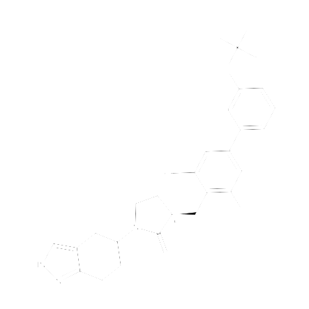 O=C1[C@H](Cc2c(Cl)cc(-c3cccc(OC(F)(F)F)c3)cc2Cl)CCN1C1CCc2n[nH]cc2C1